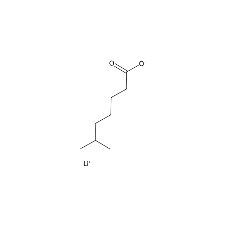 CC(C)CCCCC(=O)[O-].[Li+]